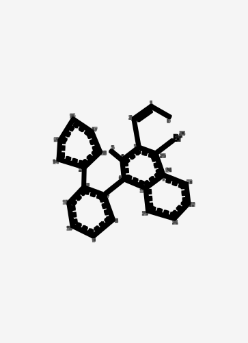 C/C=C\c1c(C)c(-c2ccccc2-c2ccccc2)c2ccccc2c1Br